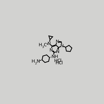 CN(c1nc(N[C@H]2CC[C@H](N)CC2)nc2c1ncn2C1CCCC1)C1CC1.Cl.Cl